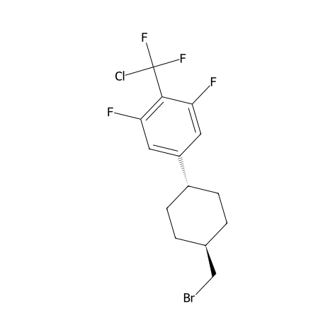 Fc1cc([C@H]2CC[C@H](CBr)CC2)cc(F)c1C(F)(F)Cl